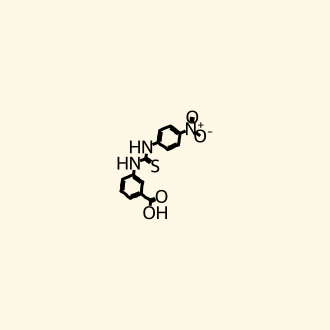 O=C(O)c1cccc(NC(=S)Nc2ccc([N+](=O)[O-])cc2)c1